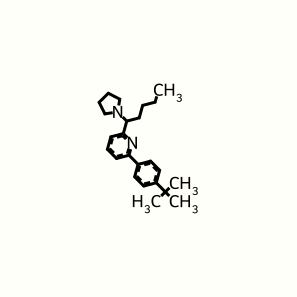 CCCCC(c1cccc(-c2ccc(C(C)(C)C)cc2)n1)N1CCCC1